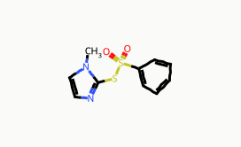 Cn1ccnc1SS(=O)(=O)c1ccccc1